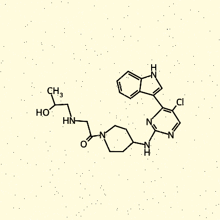 CC(O)CNCC(=O)N1CCC(Nc2ncc(Cl)c(-c3c[nH]c4ccccc34)n2)CC1